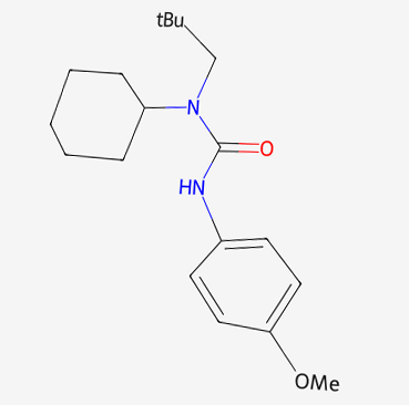 COc1ccc(NC(=O)N(CC(C)(C)C)C2CCCCC2)cc1